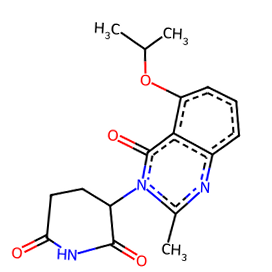 Cc1nc2cccc(OC(C)C)c2c(=O)n1C1CCC(=O)NC1=O